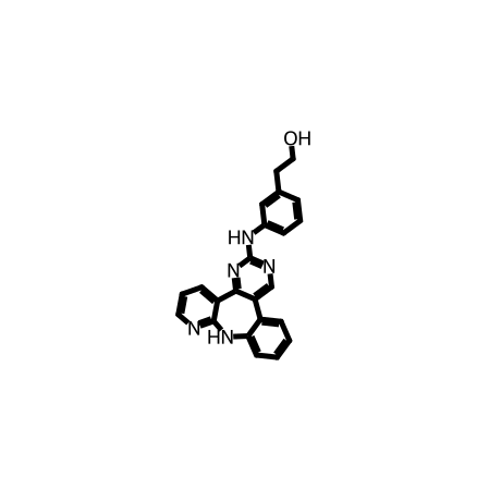 OCCc1cccc(Nc2ncc3c(n2)-c2cccnc2Nc2ccccc2-3)c1